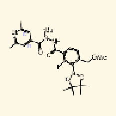 C=C(C)/C=C(\C=C(\C)CC)C(=O)N(NC(=O)c1ccc(COC)c(B2OC(C)(C)C(C)(C)O2)c1I)C(C)(C)C